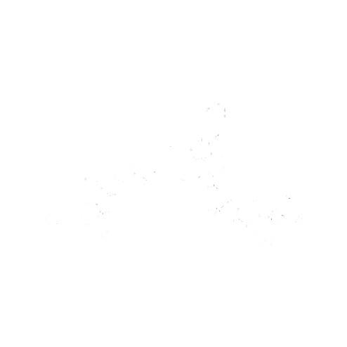 CC(C)(CCC(C)(C)NC(=O)CC[C@H](NC(=O)N[C@@H](CCC(=O)O)C(=O)O)C(=O)O)CC(=O)N[C@@H](Cc1ccccc1)C(=O)N[C@H](C(=O)O)C(=O)NC[C@H](N)C(=O)N[C@@H](CC(=O)O)C(=O)N[C@@H](CS)C(=O)O